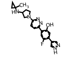 CC1(NC2CCN(c3ccc(-c4cc(F)c(-c5cn[nH]c5)cc4O)nn3)C2)CC1